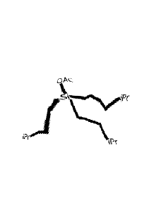 [CH2]C(=O)O[Si](CCC(C)C)(CCC(C)C)CCC(C)C